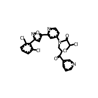 O=C(CCN(C(=O)C(Cl)Cl)c1ccnc(-c2cc(-c3c(Cl)cccc3Cl)no2)c1)c1cccnc1